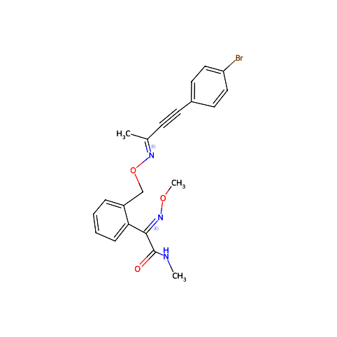 CNC(=O)/C(=N/OC)c1ccccc1CO/N=C(\C)C#Cc1ccc(Br)cc1